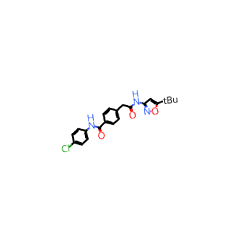 CC(C)(C)c1cc(NC(=O)Cc2ccc(C(=O)Nc3ccc(Cl)cc3)cc2)no1